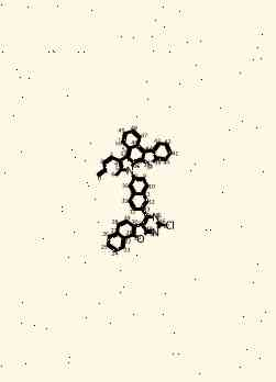 C=C/C=C\c1c(C)n(-c2ccc3cc(-c4nc(Cl)nc5oc6c7ccccc7ccc6c45)ccc3c2)c2c3sc4ccccc4c3c3ccccc3c12